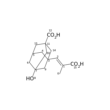 CC(=CC12CC3CC(O)(C1)CC(C(=O)O)(C3)C2)C(=O)O